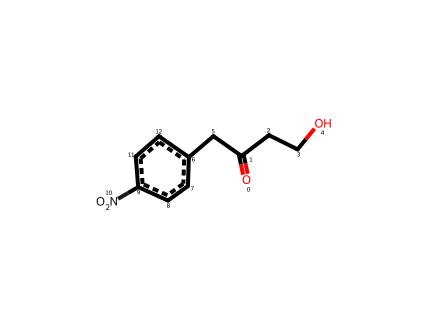 O=C(CCO)Cc1ccc([N+](=O)[O-])cc1